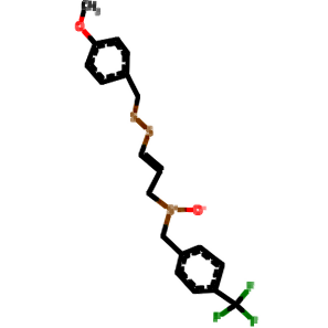 COc1ccc(CSSC=CC[S+]([O-])Cc2ccc(C(F)(F)F)cc2)cc1